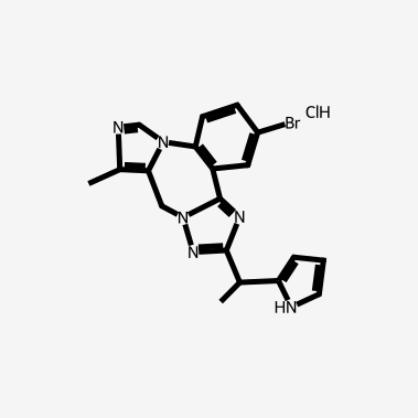 Cc1ncn2c1Cn1nc(C(C)c3ccc[nH]3)nc1-c1cc(Br)ccc1-2.Cl